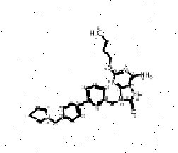 CCCCOc1nc(N)c2[nH]c(=O)n(Cc3cccc(-c4ccc(CN5CCCC5)cc4)c3)c2n1